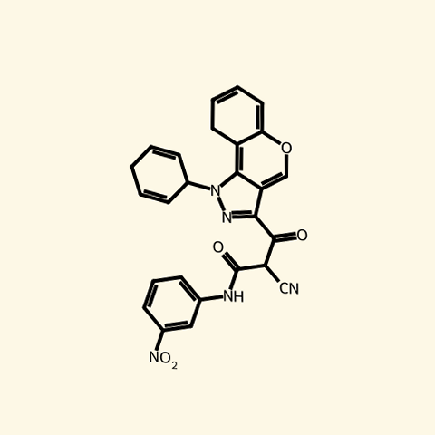 N#CC(C(=O)Nc1cccc([N+](=O)[O-])c1)C(=O)c1nn(C2C=CCC=C2)c2c1=COC1=CC=CCC=21